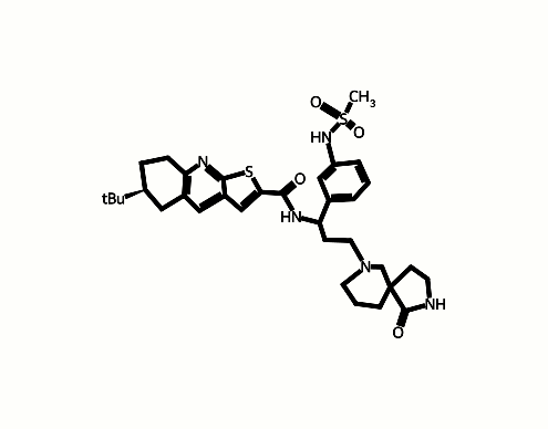 CC(C)(C)[C@H]1CCc2nc3sc(C(=O)NC(CCN4CCCC5(CCNC5=O)C4)c4cccc(NS(C)(=O)=O)c4)cc3cc2C1